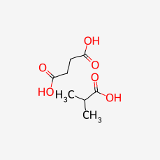 CC(C)C(=O)O.O=C(O)CCC(=O)O